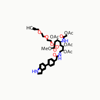 C#CCOCCOCCO[C@]1(C(=O)OC)C[C@H](OC(C)=O)[C@@H](NC(=O)COC(C)=O)[C@H]([C@H](OC(C)=O)[C@@H](CNC(=O)Cc2ccc(-c3ccc4[nH]ccc4c3)cc2)OC(C)=O)O1